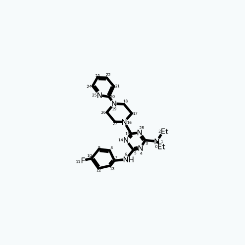 CCN(CC)c1nc(Nc2ccc(F)cc2)nc(N2CCN(c3ccccn3)CC2)n1